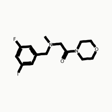 CN(CC(=O)N1CCOCC1)Cc1cc(F)cc(I)c1